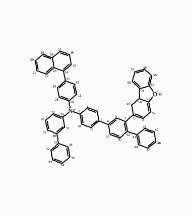 C1=C(c2cc(-c3ccc(N(c4ccc(-c5cccc6ccccc56)cc4)c4cccc(-c5ccccc5)c4)cc3)ccc2-c2ccccc2)CC2C(=C1)Oc1ccccc12